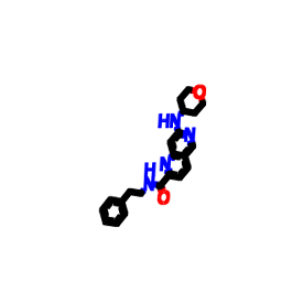 O=C(NCCc1ccccc1)c1ccc2cnc(NC3CCOCC3)cc2n1